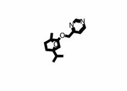 CC(C)C12CCC(C)(O1)C(OCc1ccncn1)C2